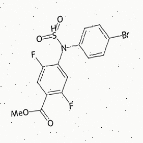 COC(=O)c1cc(F)c(N(c2ccc(Br)cc2)[SH](=O)=O)cc1F